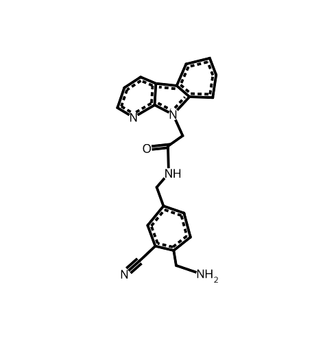 N#Cc1cc(CNC(=O)Cn2c3ccccc3c3cccnc32)ccc1CN